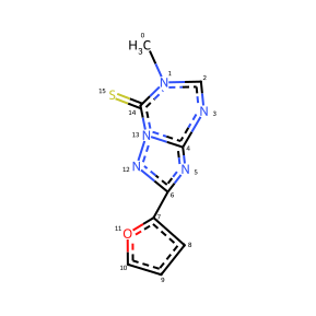 Cn1cnc2nc(-c3ccco3)nn2c1=S